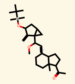 C=C1C(O[Si](C)(C)C(C)(C)C)CC2CC12C(/C=C1\CCCC2(C)C(C(C)=O)CCC12)OC